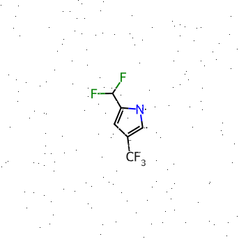 FC(F)C1=CC(C(F)(F)F)=[C][N]1